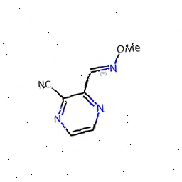 CO/N=C/c1nccnc1C#N